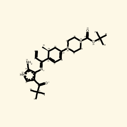 C=C/C(=N\c1c(C(=O)C(C)(C)C)c[nH]c1N)C1=CC=C(N2CCN(C(=O)OC(C)(C)C)CC2)C[C@@H]1C